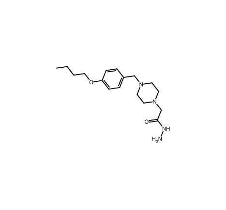 CCCCOc1ccc(CN2CCN(CC(=O)NN)CC2)cc1